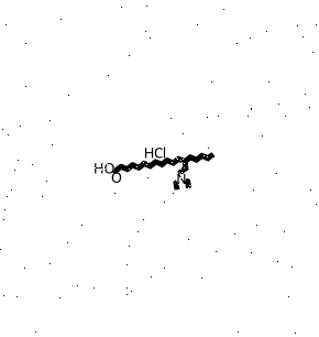 CCCCCC(CCCCCCCCCCCC(=O)O)CCN(CC)CC.Cl